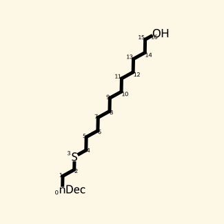 CCCCCCCCCCCCSCCCCCCCCCCCCO